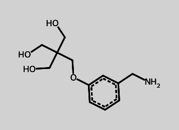 NCc1cccc(OCC(CO)(CO)CO)c1